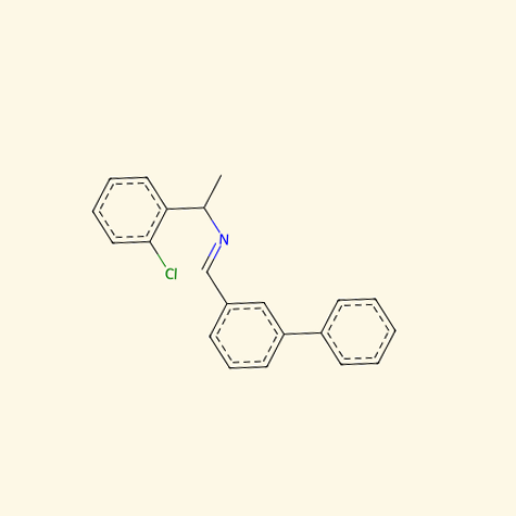 CC(N=Cc1cccc(-c2ccccc2)c1)c1ccccc1Cl